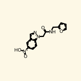 O=C(Cn1ncc2cc([N+](=O)O)ccc21)NCc1ccco1